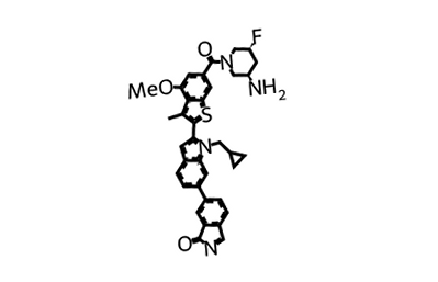 COc1cc(C(=O)N2C[C@H](N)C[C@@H](F)C2)cc2sc(-c3cc4ccc(-c5ccc6c(c5)C(=O)N=C6)cc4n3CC3CC3)c(C)c12